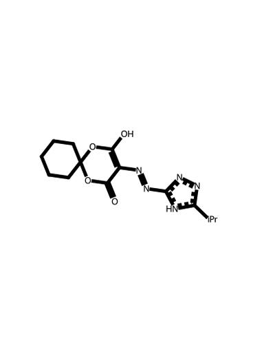 CC(C)c1nnc(N=NC2=C(O)OC3(CCCCC3)OC2=O)[nH]1